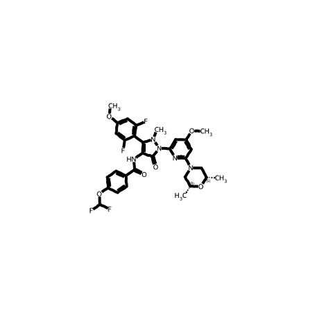 COc1cc(N2C[C@@H](C)O[C@@H](C)C2)nc(-n2c(=O)c(NC(=O)c3ccc(OC(F)F)cc3)c(-c3c(F)cc(OC)cc3F)n2C)c1